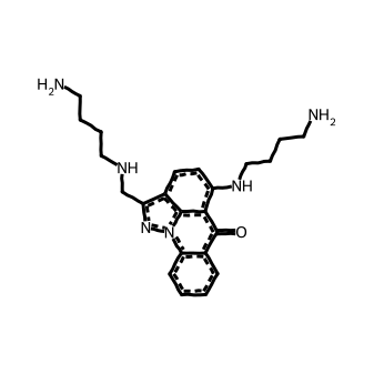 NCCCCNCc1nn2c3ccccc3c(=O)c3c(NCCCCN)ccc1c32